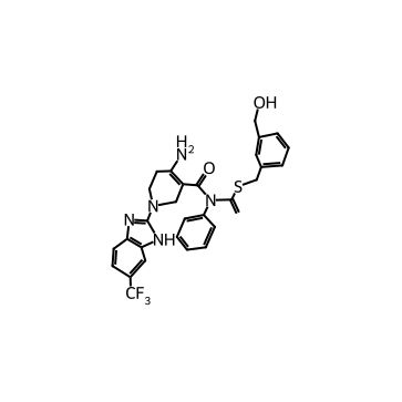 C=C(SCc1cccc(CO)c1)N(C(=O)C1=C(N)CCN(c2nc3ccc(C(F)(F)F)cc3[nH]2)C1)c1ccccc1